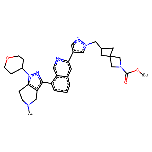 CC(=O)N1CCc2c(c(-c3cccc4cc(-c5cnn(CC6CC7(C6)CN(C(=O)OC(C)(C)C)C7)c5)ncc34)nn2C2CCOCC2)C1